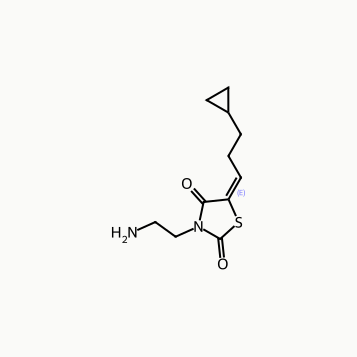 NCCN1C(=O)S/C(=C/CCC2CC2)C1=O